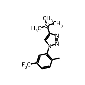 C[Si](C)(C)c1cn(-c2cc(C(F)(F)F)ccc2I)nn1